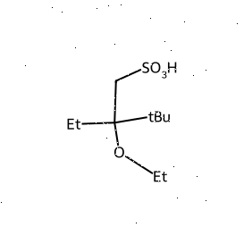 CCOC(CC)(CS(=O)(=O)O)C(C)(C)C